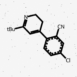 CC(C)(C)C1=NCCC(c2ccc(Cl)cc2C#N)=C1